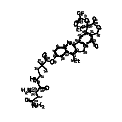 CCc1c2c(nc3ccc(OC(=O)C(C)(C)CCNC(=O)[C@H](N)CC(N)=O)cc13)-c1cc3c(c(=O)n1C2)COC(=O)[C@@]3(CC)OC(=O)C(F)(F)F